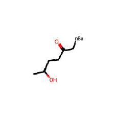 CCCCCC(=O)CCC(C)O